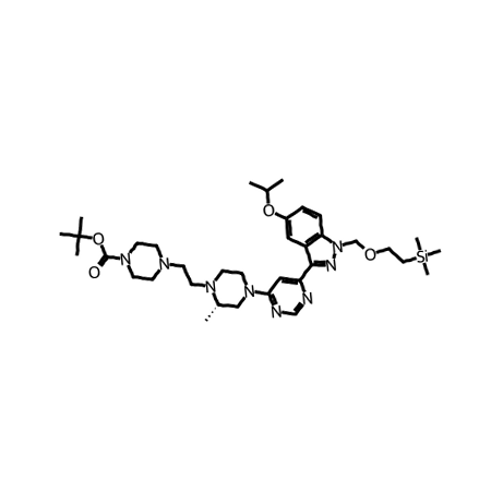 CC(C)Oc1ccc2c(c1)c(-c1cc(N3CCN(CCN4CCN(C(=O)OC(C)(C)C)CC4)[C@@H](C)C3)ncn1)nn2COCC[Si](C)(C)C